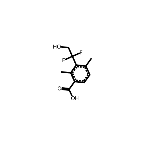 Cc1ccc(C(=O)O)c(C)c1C(F)(F)CO